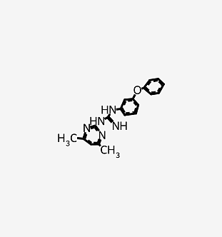 Cc1cc(C)nc(NC(=N)Nc2cccc(Oc3ccccc3)c2)n1